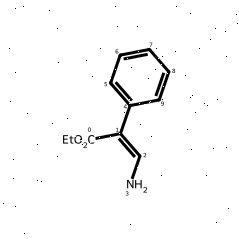 CCOC(=O)C(=CN)c1ccccc1